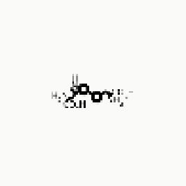 N[C@@H](Cc1cccc(-c2ccc3[nH]cc(C[C@H](N)C(=O)O)c3c2)c1)C(=O)O